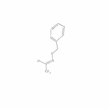 FC(F)(F)C(Cl)=NOCc1ccccc1